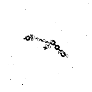 COc1ccc2nc(-c3ccc(-c4ccnc(N(CCOCCOCCOS(=O)(=O)c5ccc(C)cc5)C(=O)OC(C)(C)C)c4)cc3)cn2c1